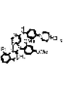 C=C(Nc1c(CC)cccc1CC)N(c1cc(Nc2ccc(N3CCN(C)CC3)cc2)ncn1)c1ccc(OC)cc1OC